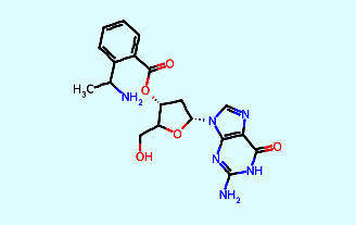 CC(N)c1ccccc1C(=O)O[C@@H]1C[C@H](n2cnc3c(=O)[nH]c(N)nc32)OC1CO